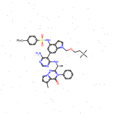 COc1ccc(S(=O)(=O)Nc2cc(-c3c(N)ncnc3N[C@@H](C)c3nn4ccc(C)c4c(=O)n3-c3ccccc3)cc3c2ccn3COCC[Si](C)(C)C)cc1